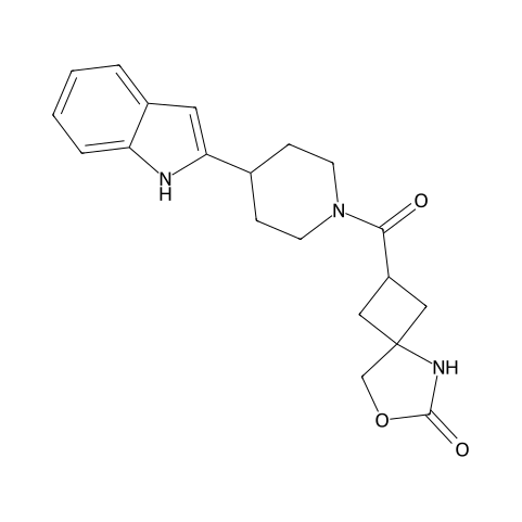 O=C1NC2(CO1)CC(C(=O)N1CCC(c3cc4ccccc4[nH]3)CC1)C2